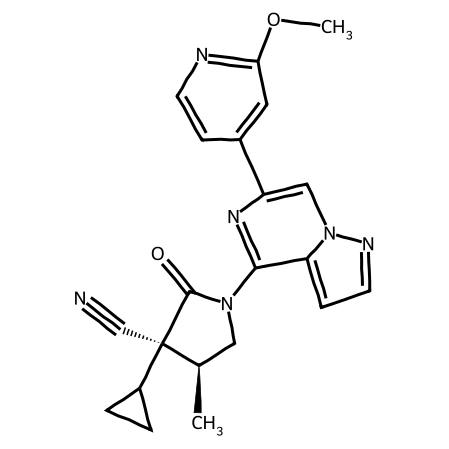 COc1cc(-c2cn3nccc3c(N3C[C@@H](C)[C@@](C#N)(C4CC4)C3=O)n2)ccn1